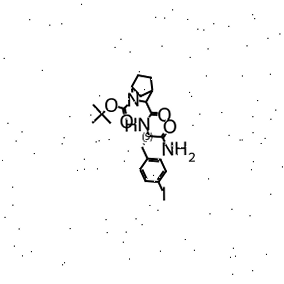 CC(C)(C)OC(=O)N1C2CCC(C2)C1C(=O)N[C@@H](Cc1ccc(I)cc1)C(N)=O